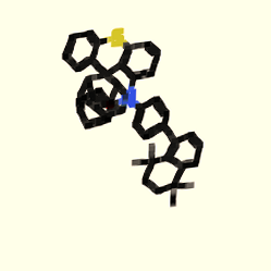 CC1(C)CCC(C)(C)c2c(-c3ccc(N(c4ccccc4)c4cccc5c4C4(c6ccccc6S5)C5CC6CC(C5)CC4C6)cc3)cccc21